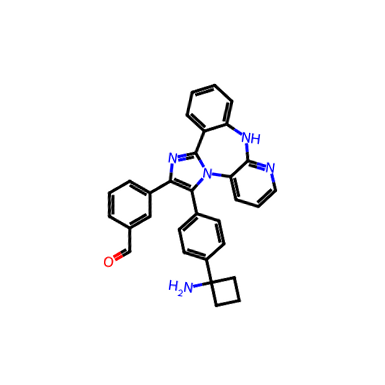 NC1(c2ccc(-c3c(-c4cccc(C=O)c4)nc4n3-c3cccnc3Nc3ccccc3-4)cc2)CCC1